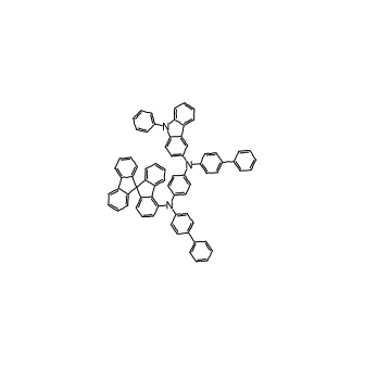 c1ccc(-c2ccc(N(c3ccc(N(c4ccc(-c5ccccc5)cc4)c4cccc5c4-c4ccccc4C54c5ccccc5-c5ccccc54)cc3)c3ccc4c(c3)c3ccccc3n4-c3ccccc3)cc2)cc1